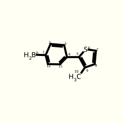 Bc1ccc(-c2sccc2C)cc1